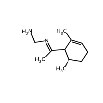 CC1=CCC[C@H](C)C1/C(C)=N/CN